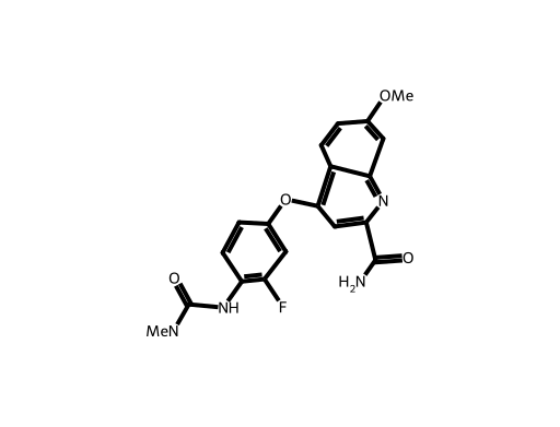 CNC(=O)Nc1ccc(Oc2cc(C(N)=O)nc3cc(OC)ccc23)cc1F